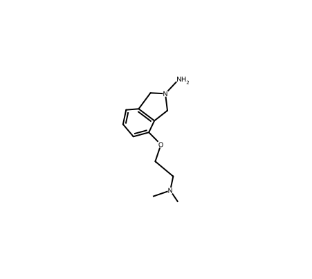 CN(C)CCOc1cccc2c1CN(N)C2